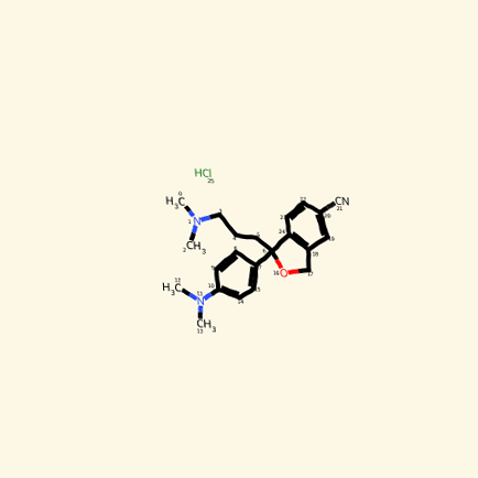 CN(C)CCCC1(c2ccc(N(C)C)cc2)OCc2cc(C#N)ccc21.Cl